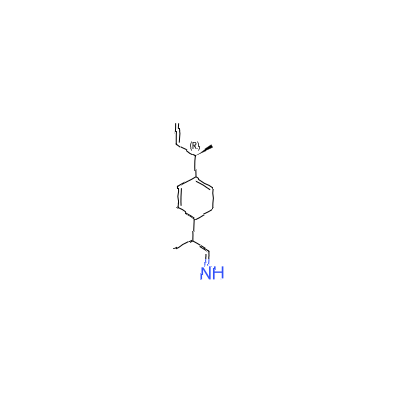 C=C[C@@H](C)C1=CCC(C(C)C=N)C=C1